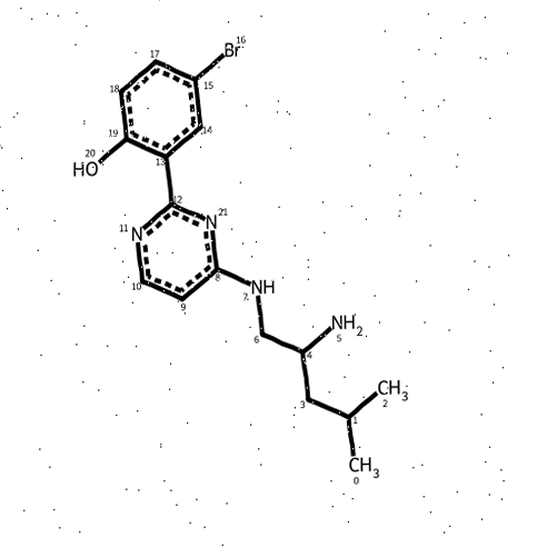 CC(C)CC(N)CNc1ccnc(-c2cc(Br)ccc2O)n1